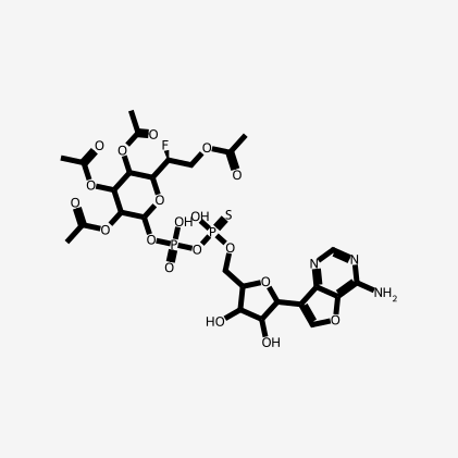 CC(=O)OC[C@H](F)C1OC(OP(=O)(O)OP(O)(=S)OCC2OC(c3coc4c(N)ncnc34)C(O)C2O)C(OC(C)=O)C(OC(C)=O)C1OC(C)=O